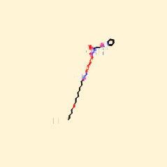 CCCCCCCCCCCCCCCC(=O)NCCOCCOCC(=O)NC(CCC(=O)Nc1ccccc1)C(=O)O